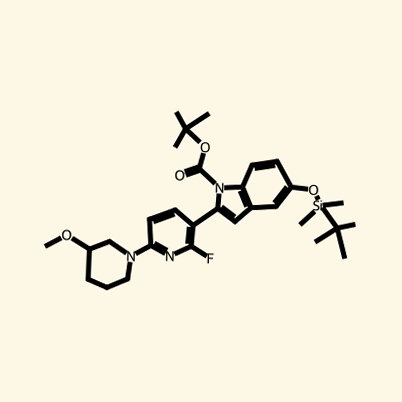 COC1CCCN(c2ccc(-c3cc4cc(O[Si](C)(C)C(C)(C)C)ccc4n3C(=O)OC(C)(C)C)c(F)n2)C1